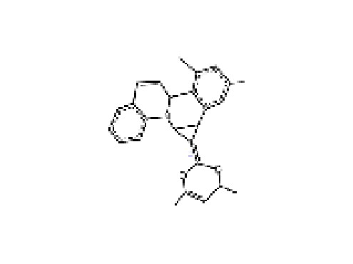 CC1=CC(C)O/C(=C2\C3c4cc(C)cc(C)c4C4C=Cc5ccccc5N4C23)O1